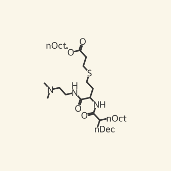 CCCCCCCCCCC(CCCCCCCC)C(=O)NC(CCSCCC(=O)OCCCCCCCC)C(=O)NCCN(C)C